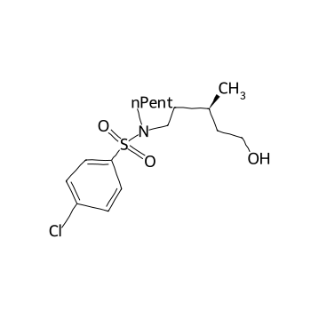 CCCCCN(CC[C@@H](C)CCO)S(=O)(=O)c1ccc(Cl)cc1